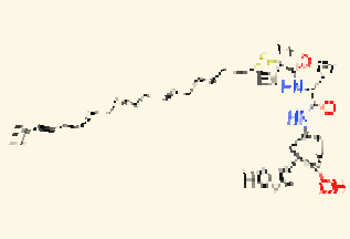 CCC=CCC=CCC=CCC=CCC=CCCSC(CC)(CC)C(=O)NC(CC(C)C)C(=O)Nc1ccc(O)c(C(=O)O)c1